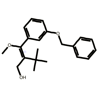 CO/C(=C(\CO)C(C)(C)C)c1cccc(OCc2ccccc2)c1